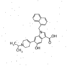 CC(C)N1CC=C(c2cc3c(cc2O)c(C(=O)O)cn3Cc2cccc3ccccc23)CC1